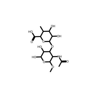 COC1OC(O)C(O)C(OC2OC(C(=O)O)C(C)C(O)C2O)C1NC(C)=O